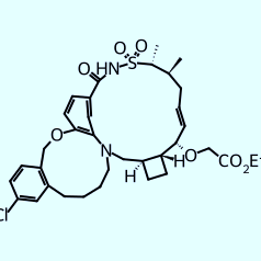 CCOC(=O)CO[C@H]1/C=C/C[C@H](C)[C@@H](C)S(=O)(=O)NC(=O)c2ccc3c(c2)N(CCCCc2cc(Cl)ccc2CO3)C[C@@H]2CC[C@H]21